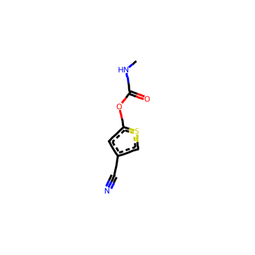 CNC(=O)Oc1cc(C#N)cs1